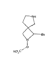 CC(C)(C)C1N(OC(=O)O)CC12CCNC2